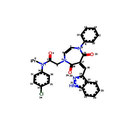 CC(C)N(C(=O)CN1C=CN(c2ccccc2)C(=O)C(=Cc2n[nH]c3ccccc23)C1=O)c1ccc(Cl)cc1